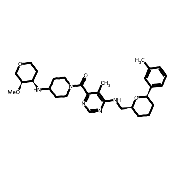 CO[C@H]1COCC[C@H]1NC1CCN(C(=O)c2ncnc(NC[C@@H]3CCC[C@H](c4cccc(C)c4)O3)c2C)CC1